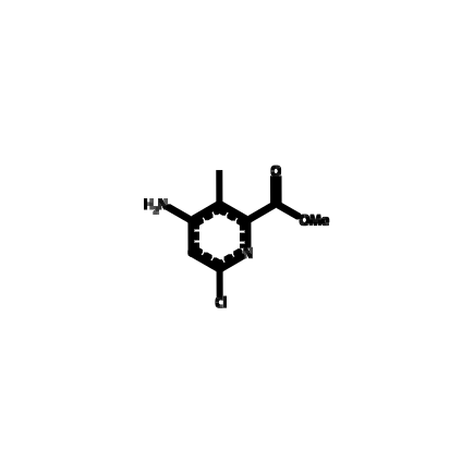 COC(=O)c1nc(Cl)cc(N)c1C